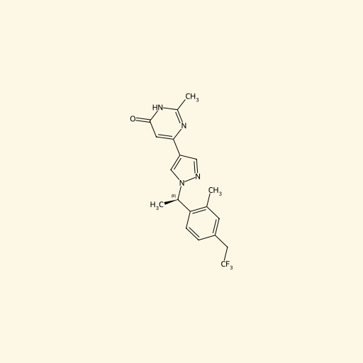 Cc1nc(-c2cnn([C@H](C)c3ccc(CC(F)(F)F)cc3C)c2)cc(=O)[nH]1